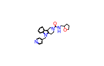 O=C(NCC1CCCO1)N1CCc2c(c3ccccc3n2Cc2ccncc2)C1